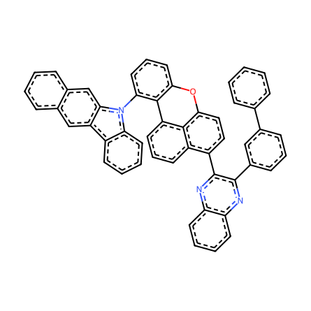 c1ccc(-c2cccc(-c3nc4ccccc4nc3-c3ccc4c5c(cccc35)-c3c(cccc3-n3c5ccccc5c5cc6ccccc6cc53)O4)c2)cc1